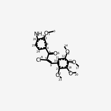 COc1cc(C(=O)/C(Cl)=C\c2cc(OC)c(OC)c(OC)c2OC)ccc1N